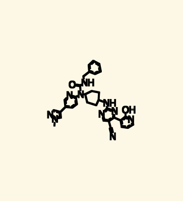 Cn1cc(-c2ccc(N(C(=O)NCc3ccccc3)C3CCC(Nc4ncc(C#N)c(-c5cccnc5O)n4)CC3)nc2)cn1